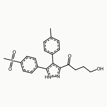 Cc1ccc(-c2c(C(=O)CCCO)n[nH]c2-c2ccc(S(C)(=O)=O)cc2)cc1